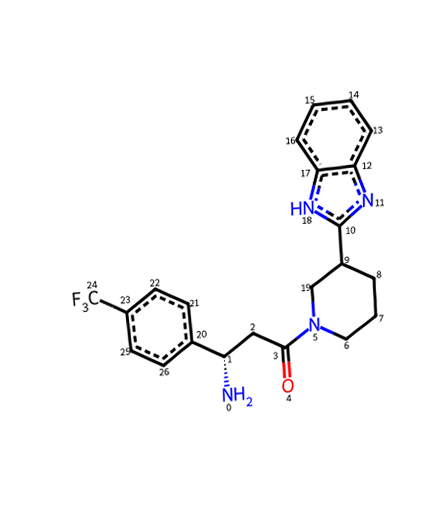 N[C@@H](CC(=O)N1CCCC(c2nc3ccccc3[nH]2)C1)c1ccc(C(F)(F)F)cc1